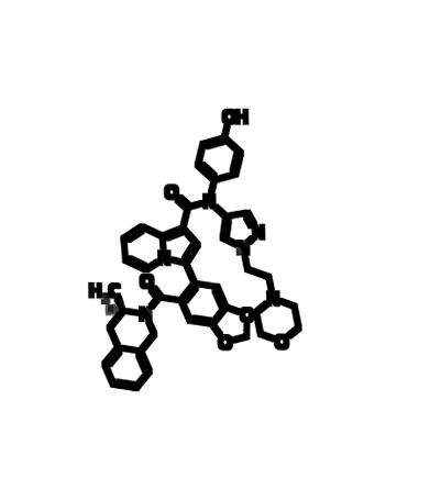 C[C@@H]1Cc2ccccc2CN1C(=O)c1cc2c(cc1-c1cc(C(=O)N(c3ccc(O)cc3)c3cnn(CCN4CCOCC4)c3)c3ccccn13)OCO2